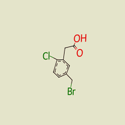 O=C(O)Cc1cc(CBr)ccc1Cl